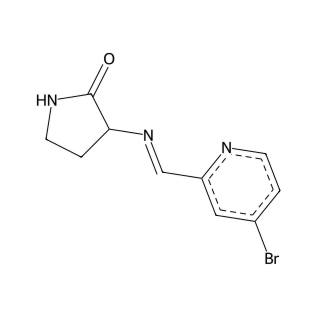 O=C1NCCC1N=Cc1cc(Br)ccn1